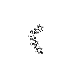 CC1N=C(N2CCN(Cc3ccc(F)cc3)C2=O)SC1C(=O)NCc1cccnn1